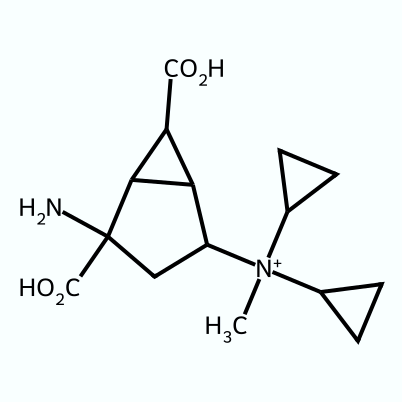 C[N+](C1CC1)(C1CC1)C1CC(N)(C(=O)O)C2C(C(=O)O)C21